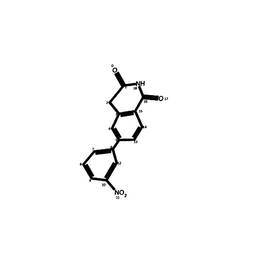 O=C1Cc2cc(-c3cccc([N+](=O)[O-])c3)ccc2C(=O)N1